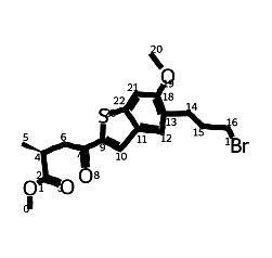 COC(=O)[C@@H](C)CC(=O)c1cc2cc(CCCBr)c(OC)cc2s1